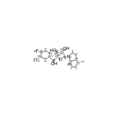 Cc1ccnc2c1ccn2[C@@H]1O[C@H]([C@H](O)c2ccc(F)c(Cl)c2)[C@@H](O)[C@H]1O